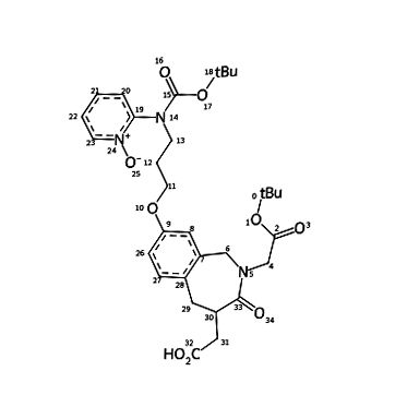 CC(C)(C)OC(=O)CN1Cc2cc(OCCCN(C(=O)OC(C)(C)C)c3cccc[n+]3[O-])ccc2CC(CC(=O)O)C1=O